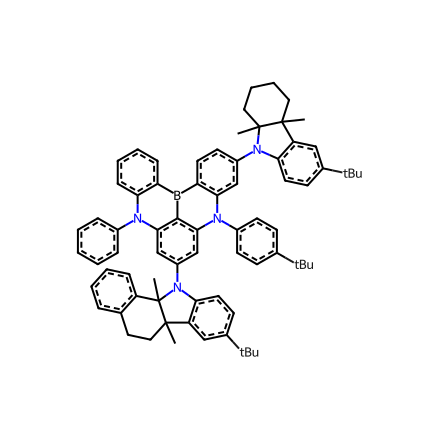 CC(C)(C)c1ccc(N2c3cc(N4c5ccc(C(C)(C)C)cc5C5(C)CCCCC45C)ccc3B3c4ccccc4N(c4ccccc4)c4cc(N5c6ccc(C(C)(C)C)cc6C6(C)CCc7ccccc7C56C)cc2c43)cc1